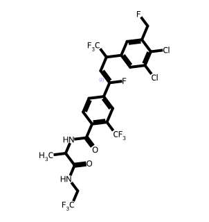 CC(NC(=O)c1ccc(/C(F)=C/C(c2cc(Cl)c(Cl)c(CF)c2)C(F)(F)F)cc1C(F)(F)F)C(=O)NCC(F)(F)F